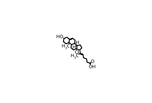 C/C(=C\CCCC(=O)O)[C@H]1CC[C@H]2[C@@H]3CC=C4C[C@@H](O)CC[C@]4(C)C3CC[C@]12C